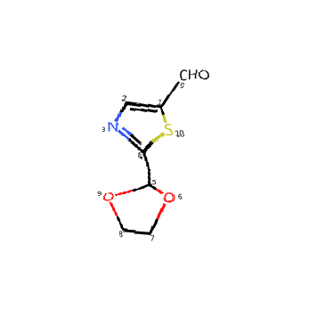 O=Cc1cnc(C2OCCO2)s1